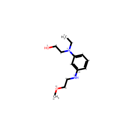 CCN(CCO)c1cccc(NCCOC)c1